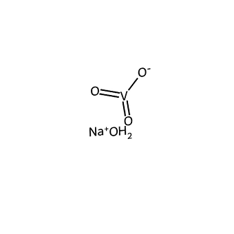 O.[Na+].[O]=[V](=[O])[O-]